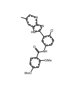 COc1ccc(C(=O)Nc2ccc(Cl)c(-c3nc4ncc(C)cc4[nH]3)c2)c(OC)c1